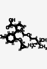 C[Si](C)(C)CCOCn1ncc(C(=O)O)c1-c1cc(Cl)ccc1OC1CC1